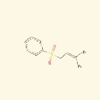 CC(C)C(=CCS(=O)(=O)c1ccccc1)C(C)C